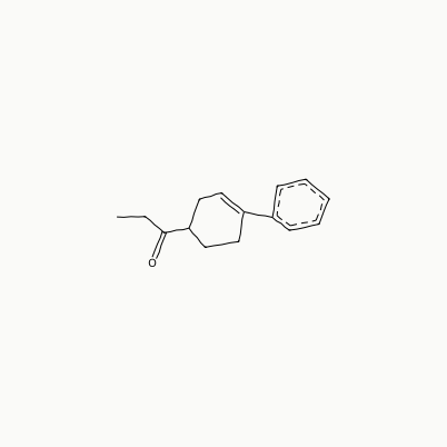 CCC(=O)C1CC=C(c2ccccc2)CC1